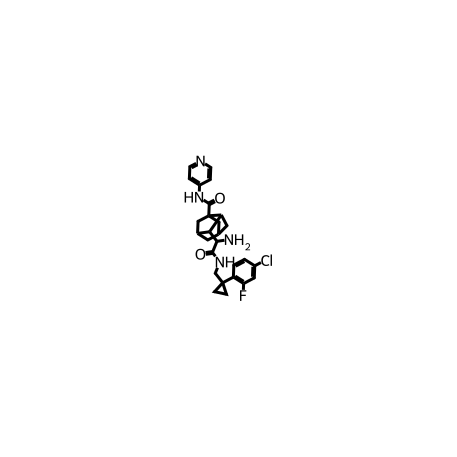 NC(C(=O)NCC1(c2ccc(Cl)cc2F)CC1)C1C2CC3CC1C(C(=O)Nc1ccncc1)(C3)C2